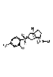 CCN[C@H]1CC[C@@H]2CN(S(=O)(=O)c3ccc(C(F)(F)F)cc3Cl)C[C@@H]21